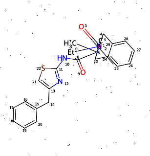 CCN1C(=O)C2CC(C)(C(=O)Nc3nc(Cc4ccccc4)cs3)C1c1ccccc12